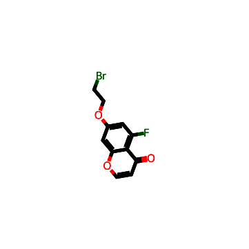 O=c1ccoc2cc(OCCBr)cc(F)c12